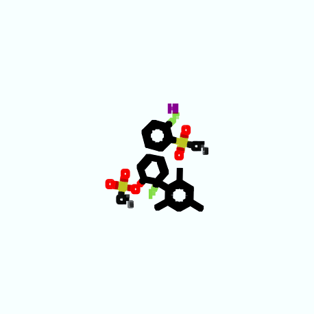 Cc1cc(C)c(C2(F)C=CC=CC2OS(=O)(=O)C(F)(F)F)c(C)c1.I.O=S(=O)(c1ccccc1F)C(F)(F)F